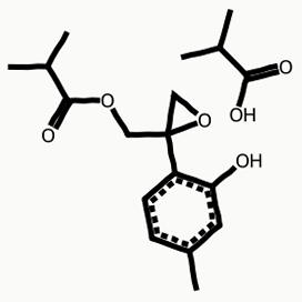 CC(C)C(=O)O.Cc1ccc(C2(COC(=O)C(C)C)CO2)c(O)c1